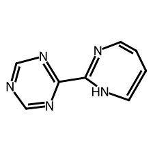 C1=CN=C(c2ncncn2)NC=C1